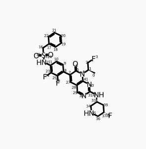 C[C@H](CF)n1c(=O)c(-c2ccc(NS(=O)(=O)Cc3ccccc3)c(F)c2F)cc2cnc(N[C@@H]3CNC[C@@H](F)C3)nc21